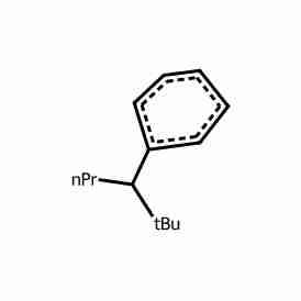 [CH2]CCC(c1ccccc1)C(C)(C)C